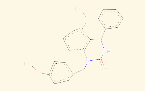 COc1ccc(CN2C(=O)NC(c3ccccc3)c3c(OC)cccc32)cc1